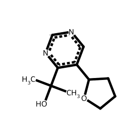 CC(C)(O)c1n[c]ncc1C1CCCO1